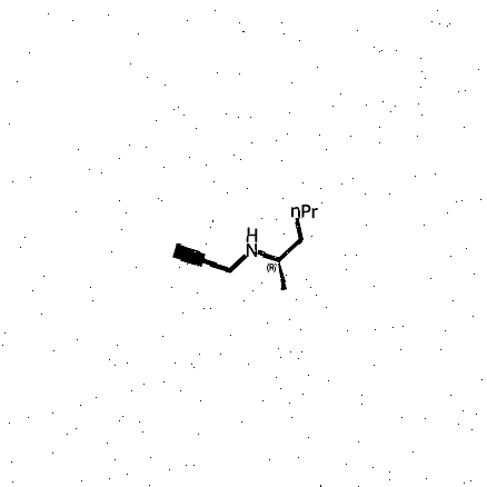 C#CCN[C@H](C)CCCC